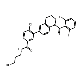 O=C(NCCCO)c1ccc(Cl)c(-c2ccc3c(c2)CCCN3C(=O)c2c(F)cccc2Cl)c1